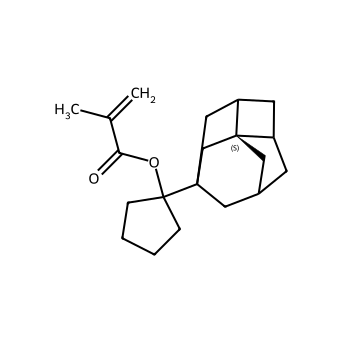 C=C(C)C(=O)OC1(C23CC4CC5CC(C2)[C@@]5(C4)C3)CCCC1